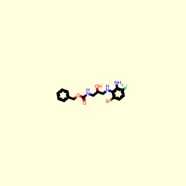 Nc1c(F)ccc(Br)c1NCC(O)CNC(=O)OCc1ccccc1